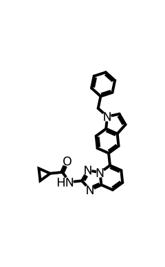 O=C(Nc1nc2cccc(-c3ccc4c(ccn4Cc4ccccc4)c3)n2n1)C1CC1